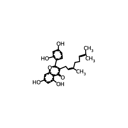 CC(C)=CCCC(C)=CCc1c(-c2ccc(O)cc2O)oc2cc(O)cc(O)c2c1=O